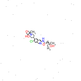 CC(C)(O)[C@@H]1C[C@H]1C(=O)Nc1cc2cc(C3CCN([C@@]4(C)COC[C@H]4O)CC3)c(Cl)cc2cn1